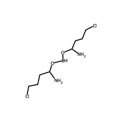 NC(CCCCl)OBOC(N)CCCCl